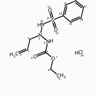 C=CCN(NC(=O)OCC)NS(=O)(=O)c1ccccc1.Cl